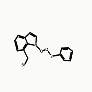 BrCc1cccc2ccn(OOSc3ccccc3)c12